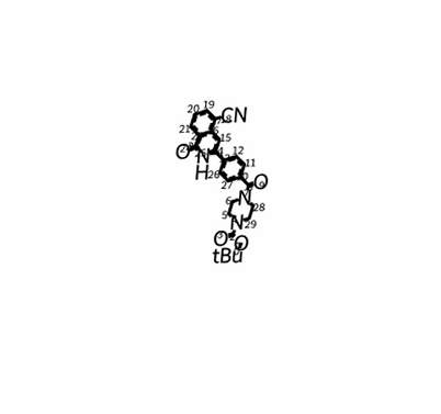 CC(C)(C)OC(=O)N1CCN(C(=O)c2ccc(-c3cc4c(C#N)cccc4c(=O)[nH]3)cc2)CC1